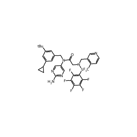 CC(C)(C)c1cc(CN(C(=O)CN(Cc2cnccc2C(F)(F)F)Sc2c(F)c(F)c(F)c(F)c2F)c2cnc(N)nc2)cc(C2CC2)c1